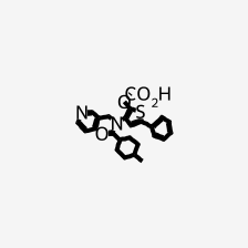 CC1CCC(C(=O)N(Cc2cccnc2)c2cc(-c3ccccc3)sc2OC(=O)O)CC1